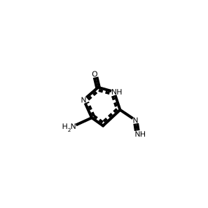 N=Nc1cc(N)nc(=O)[nH]1